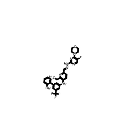 CCc1nc(/C=N/Nc2ncc(F)c(N3CCOCC3)n2)ccc1Nc1cc(-c2ccccc2O)cc(C(F)(F)F)c1